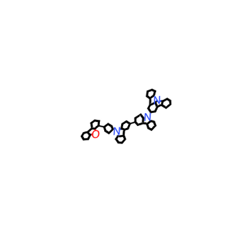 c1ccc2c(c1)oc1c(-c3ccc(-n4c5ccccc5c5cc(-c6ccc7c(c6)c6ccccc6n7-c6cc7c8ccccc8n8c9ccccc9c(c6)c78)ccc54)cc3)cccc12